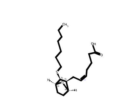 CCCCCCCS[C@H]1[C@@H](C/C=C\CCCC(=O)O)[C@H]2CC[C@@H]1O2